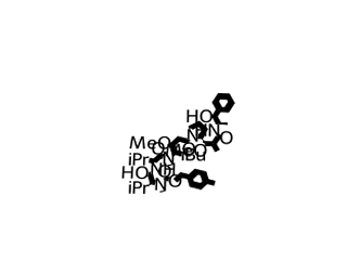 CCC(C)C([C@H](CC(=O)N1CCC[C@@H]1C(OC)C(C)C(=O)N[C@H](C)[C@@H](O)c1ccccc1)OC)N(C)C(=O)C(NC(O)[C@@H](C(C)C)N(C)C(=O)OCc1ccc(C)cc1)C(C)C